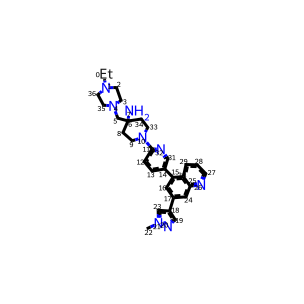 CCN1CCN(CC2(N)CCN(c3ccc(-c4cc(-c5cnn(C)c5)cc5ncccc45)cn3)CC2)CC1